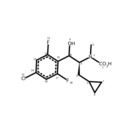 CN(C(=O)O)[C@@H](CC1CC1)C(O)c1c(F)cc(Cl)cc1F